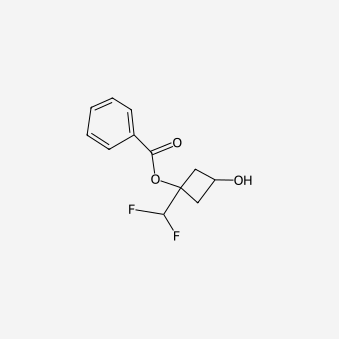 O=C(OC1(C(F)F)CC(O)C1)c1ccccc1